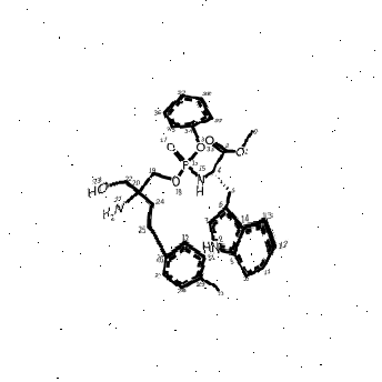 COC(=O)[C@H](Cc1c[nH]c2ccccc12)NP(=O)(OCC(N)(CO)CCc1ccc(C)cc1)Oc1ccccc1